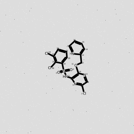 O=S(=O)(Nc1nc(Cl)cnc1OCc1ccccn1)c1cccc(Cl)c1Cl